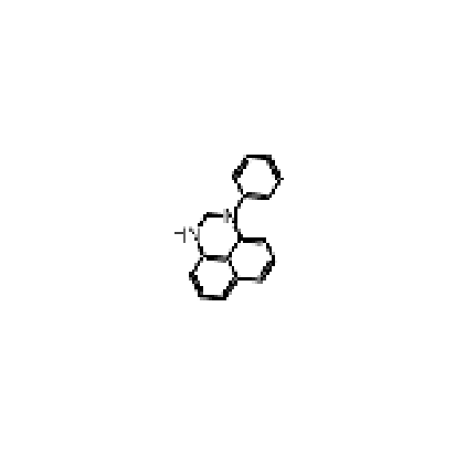 c1ccc(N2CNc3cccc4cccc2c34)cc1